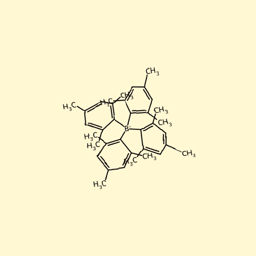 Cc1cc(C)c([B-](c2c(C)cc(C)cc2C)(c2c(C)cc(C)cc2C)c2c(C)cc(C)cc2C)c(C)c1